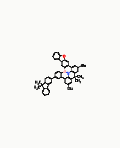 CC(C)(C)c1cc2c3c(c1)C(C)(C)c1cc(C(C)(C)C)cc4c1N3B(c1ccc(-c3ccc5c(c3)-c3ccccc3C5(C)C)cc1-2)c1cc2c(cc1-4)oc1ccccc12